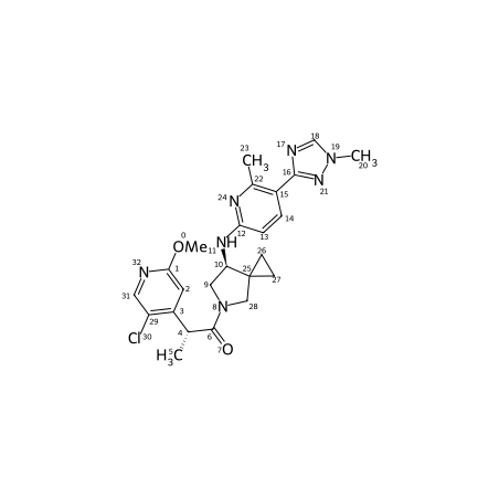 COc1cc([C@@H](C)C(=O)N2C[C@@H](Nc3ccc(-c4ncn(C)n4)c(C)n3)C3(CC3)C2)c(Cl)cn1